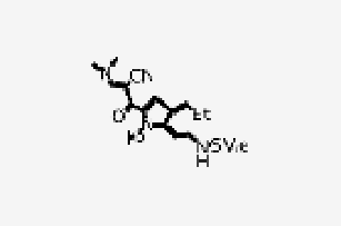 CC/C=c1/cc(C(=O)/C(C#N)=C/N(C)C)n(SI)/c1=C/CNSC